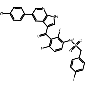 O=C(c1c(F)ccc(NS(=O)(=O)Cc2ccc(F)cc2)c1F)c1c[nH]c2ncc(-c3ccc(Cl)cc3)cc12